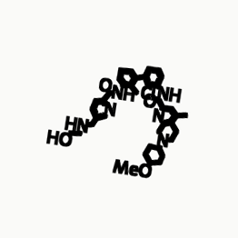 COC1CCC(N2CCc3c(C)cc(C(=O)Nc4cccc(-c5cccc(NC(=O)c6ccc(CNCCO)cn6)c5C)c4Cl)nc3C2)CC1